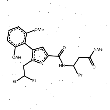 CCC(CC)Cn1nc(C(=O)NC(CC(=O)NC)C(C)C)cc1-c1c(OC)cccc1OC